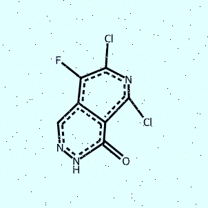 O=c1[nH]ncc2c(F)c(Cl)nc(Cl)c12